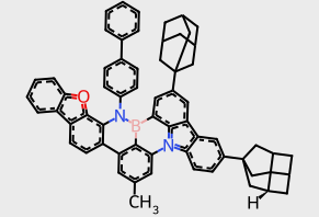 Cc1cc2c3c(c1)-n1c4ccc(C56CC7CC8C[C@H](C5)C87C6)cc4c4cc(C56CC7CC(CC(C7)C5)C6)cc(c41)B3N(c1ccc(-c3ccccc3)cc1)c1c-2ccc2c1oc1ccccc12